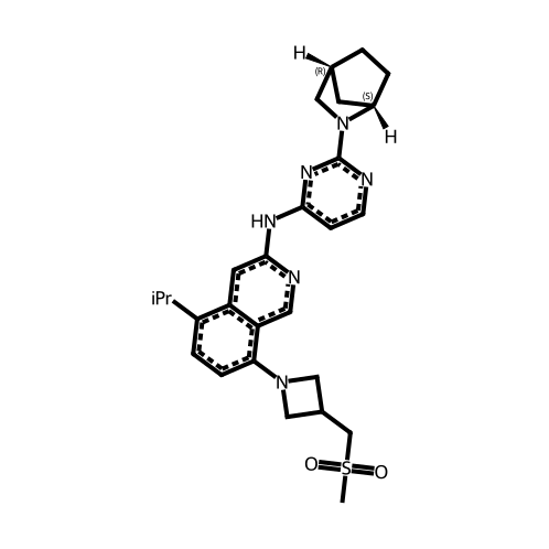 CC(C)c1ccc(N2CC(CS(C)(=O)=O)C2)c2cnc(Nc3ccnc(N4C[C@@H]5CC[C@H]4C5)n3)cc12